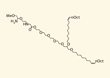 CCCCCCCC/C=C\CCCCCCCCOCC(COCCOCCOCCOCCOC(=O)CNCCOC(N)COC)OCCCCCCCC/C=C\CCCCCCCC